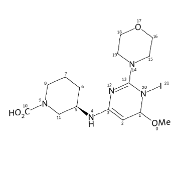 COC1C=C(N[C@@H]2CCCN(C(=O)O)C2)N=C(N2CCOCC2)N1I